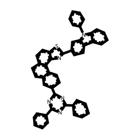 c1ccc(-c2nc(-c3ccccc3)nc(-c3ccc4c(ccc5ccc6sc(-c7ccc8c9ccccc9n(-c9ccccc9)c8c7)nc6c54)c3)n2)cc1